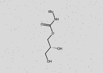 CC(C)(C)NC(=O)OC[C@H](O)CO